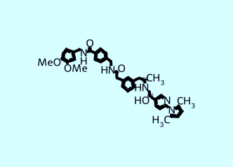 COc1ccc(CNC(=O)c2ccc(CNC(=O)Cc3cccc(C[C@@H](C)NC[C@H](O)c4ccc(-n5c(C)ccc5C)nc4)c3)cc2)cc1OC